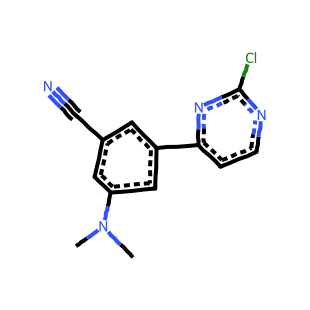 CN(C)c1cc(C#N)cc(-c2ccnc(Cl)n2)c1